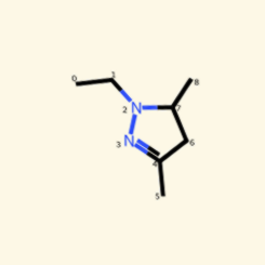 CCN1N=C(C)CC1C